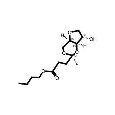 CCCCOC(=O)CC[C@@]1(C)OC[C@H]2OC[C@H](O)[C@H]2O1